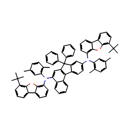 Cc1ccc(C)c(N(c2ccc3c(c2)C(c2ccccc2)(c2ccccc2)c2cc(N(c4cc(C)ccc4C)c4cccc5c4oc4c(C(C)(C)C)cccc45)c4ccccc4c2-3)c2cccc3c2oc2c(C(C)(C)C)cccc23)c1